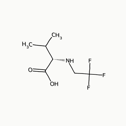 CC(C)[C@H](NCC(F)(F)F)C(=O)O